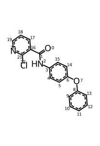 O=C(Nc1ccc(Oc2ccccc2)cc1)c1cccnc1Cl